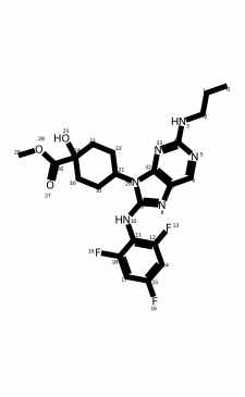 CCCNc1ncc2nc(Nc3c(F)cc(F)cc3F)n(C3CCC(O)(C(=O)OC)CC3)c2n1